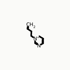 C=CCC[n+]1cccnc1